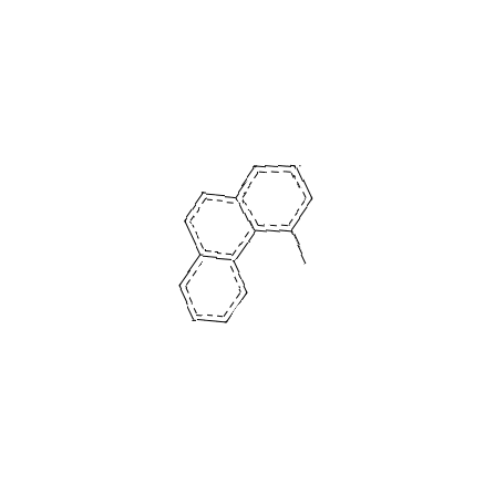 Cc1c[c]cc2ccc3ccccc3c12